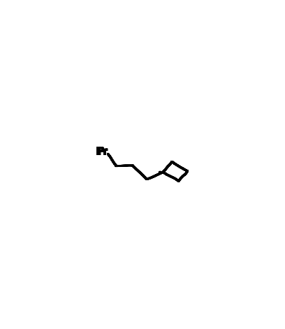 CC(C)CCC[C]1CCC1